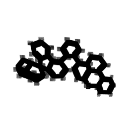 c1ccc2c(c1)Sc1ccc(-c3ccccc3-c3cccc4c3-c3ccccc3C43C4CC5CC(C4)CC3C5)c3cccc-2c13